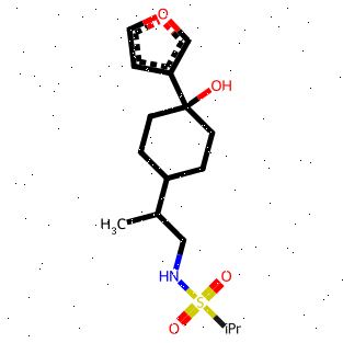 CC(CNS(=O)(=O)C(C)C)C1CCC(O)(c2ccoc2)CC1